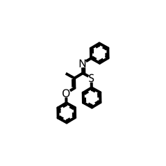 CC(=C\Oc1ccccc1)/C(=N/c1ccccc1)Sc1ccccc1